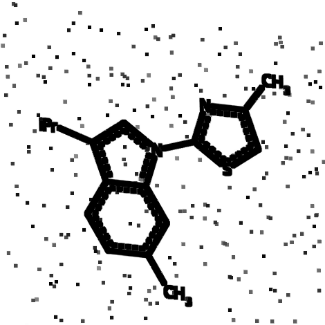 Cc1ccc2c(C(C)C)cn(-c3nc(C)cs3)c2c1